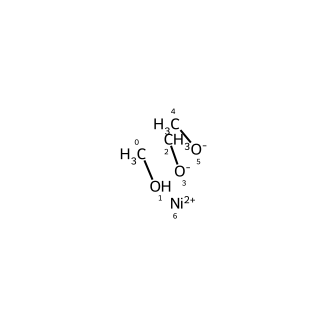 CO.C[O-].C[O-].[Ni+2]